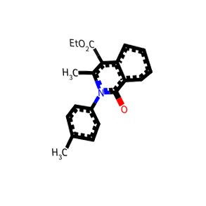 CCOC(=O)c1c(C)n(-c2ccc(C)cc2)c(=O)c2ccccc12